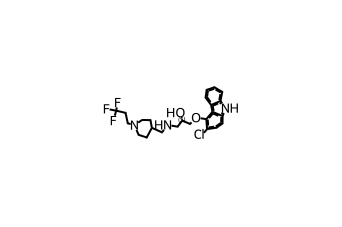 O[C@@H](CNCC1CCN(CCC(F)(F)F)CC1)COc1c(Cl)ccc2[nH]c3ccccc3c12